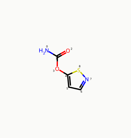 NC(=O)Oc1ccns1